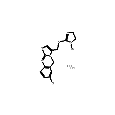 CC(C)N1CCN=C1SCC1=CSC2=Nc3ccc(Cl)cc3CN12.Cl.Cl